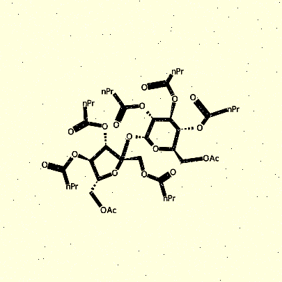 CCCC(=O)OC[C@@]1(O[C@H]2O[C@H](COC(C)=O)[C@@H](OC(=O)CCC)[C@H](OC(=O)CCC)[C@H]2OC(=O)CCC)O[C@H](COC(C)=O)[C@@H](OC(=O)CCC)[C@@H]1OC(=O)CCC